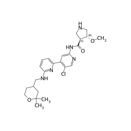 CO[C@H]1CNC[C@@H]1C(=O)Nc1cc(-c2cccc(NCC3CCOC(C)(C)C3)n2)c(Cl)cn1